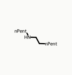 CCCCCCCNCCCCC